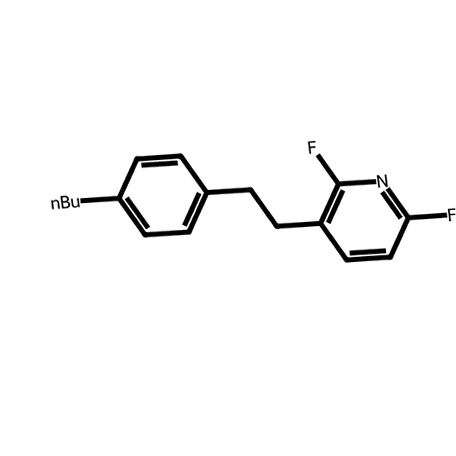 CCCCc1ccc(CCc2ccc(F)nc2F)cc1